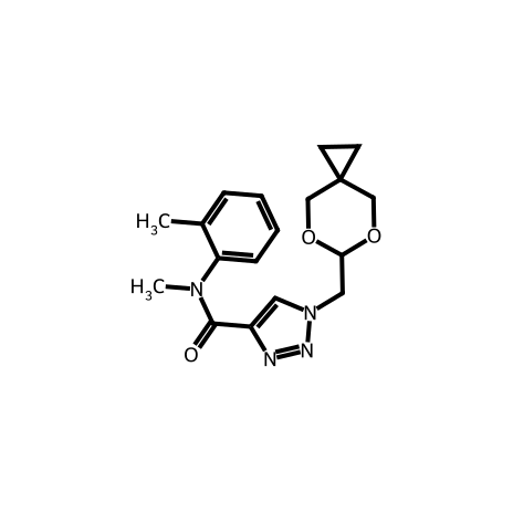 Cc1ccccc1N(C)C(=O)c1cn(CC2OCC3(CC3)CO2)nn1